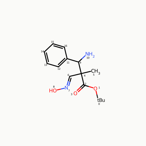 CC(C)(C)OC(=O)C(C)(C=NO)C(N)c1ccccc1